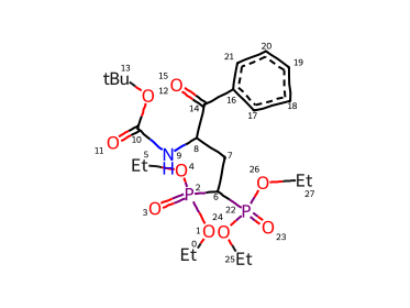 CCOP(=O)(OCC)C(CC(NC(=O)OC(C)(C)C)C(=O)c1ccccc1)P(=O)(OCC)OCC